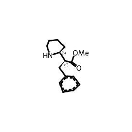 COC(=O)[C@@H](Cc1ccccc1)[C@@H]1CCCCN1